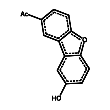 CC(=O)c1ccc2oc3ccc(O)cc3c2c1